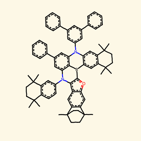 CC1(C)CCC(C)(C)c2cc(N3c4cc(-c5ccccc5)cc5c4B(c4cc6c(cc4N5c4cc(-c5ccccc5)cc(-c5ccccc5)c4)C(C)(C)CCC6(C)C)c4oc5cc6c(cc5c43)C3(C)CCC6(C)CC3)ccc21